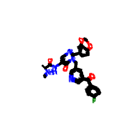 CN[C@@H](C)C(=O)Nc1cnc(-c2ccc3c(c2)OCO3)n(Cc2cncc(C(=O)c3ccc(F)cc3)c2)c1=O